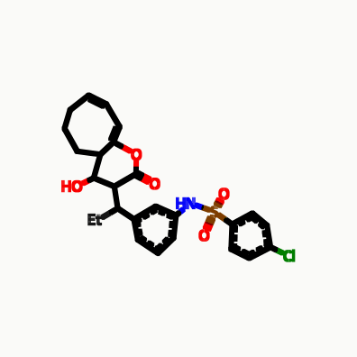 CCC(c1cccc(NS(=O)(=O)c2ccc(Cl)cc2)c1)C1C(=O)OC2=CC=CCCCC2C1O